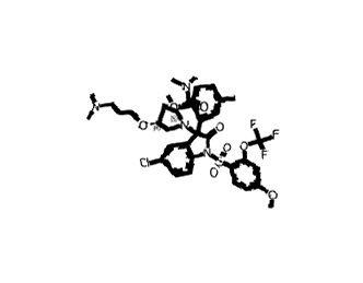 COc1ccc(S(=O)(=O)N2C(=O)C(c3cc(C)ccc3OC)(N3C[C@H](OCCCN(C)C)C[C@H]3C(=O)N(C)C)c3cc(Cl)ccc32)c(OC(F)(F)F)c1